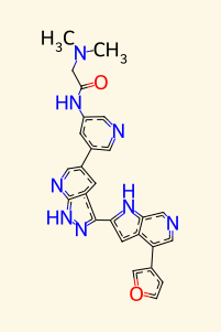 CN(C)CC(=O)Nc1cncc(-c2cnc3[nH]nc(-c4cc5c(-c6ccoc6)cncc5[nH]4)c3c2)c1